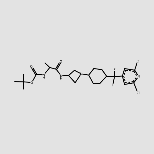 CC(NC(=O)OC(C)(C)C)C(=O)NC1CN(C2CCC(C(F)(F)c3cc(Cl)nc(Cl)c3)CC2)C1